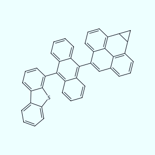 c1cc2c3c(c1)cc(-c1c4ccccc4c(-c4cccc5c4sc4ccccc45)c4ccccc14)c1cccc(c13)C1CC21